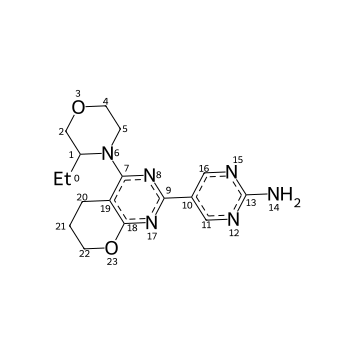 CCC1COCCN1c1nc(-c2cnc(N)nc2)nc2c1CCCO2